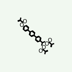 C=C(C)C(=O)OCC(COC(=O)C(=C)C)c1ccc(-c2ccc(-c3ccc(OC(=O)C(=C)C)cc3)cc2)cc1